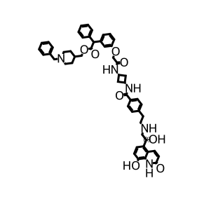 O=C(COc1cccc(C(C(=O)OCC2CCN(Cc3ccccc3)CC2)c2ccccc2)c1)N[C@H]1C[C@H](NC(=O)c2ccc(CCNC[C@H](O)c3ccc(O)c4[nH]c(=O)ccc34)cc2)C1